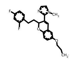 [CH2]CCOc1ccc2c(c1)C=C(c1nccn1C)C(CCc1ccc(F)cc1F)O2